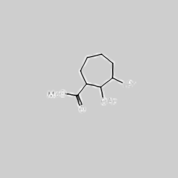 CCCC1CCCCC(C(=O)OC)C1OC(C)=O